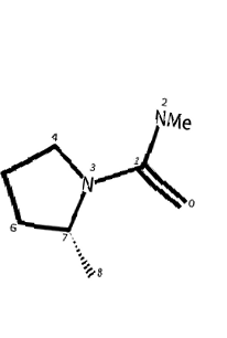 C=C(NC)N1CCC[C@H]1C